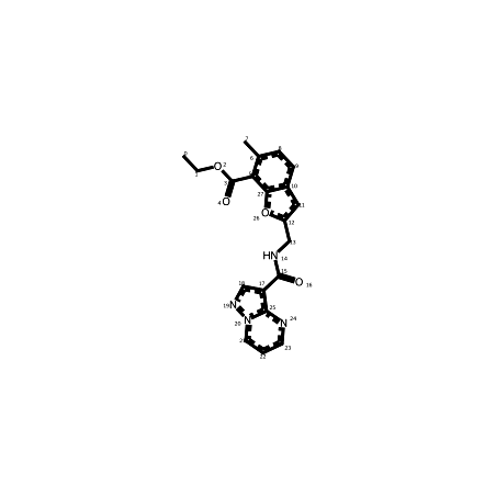 CCOC(=O)c1c(C)ccc2cc(CNC(=O)c3cnn4cccnc34)oc12